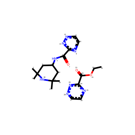 CC1(C)CC(NC(=O)c2nccnn2)CC(C)(C)N1.CCOC(=O)c1nccnn1